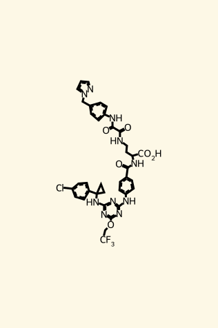 O=C(NCCC(NC(=O)c1ccc(Nc2nc(NC3(c4ccc(Cl)cc4)CC3)nc(OCC(F)(F)F)n2)cc1)C(=O)O)C(=O)Nc1ccc(Cn2cccn2)cc1